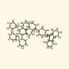 c1ccc(-c2cccc(-c3ccccc3-c3ccc4ccc5c(-c6ccc(-n7c8ccccc8c8ccccc87)cc6)ccc6ccc3c4c65)c2)cc1